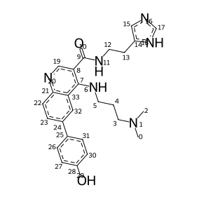 CN(C)CCCNc1c(C(=O)NCCc2cnc[nH]2)cnc2ccc(-c3ccc(O)cc3)cc12